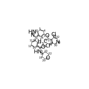 C[C@@H](Oc1ccc2[nH]nc(-c3cccc(C(=O)NC4CCOCC4)c3)c2c1)c1c(Cl)cncc1Cl